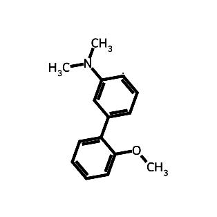 COc1ccccc1-c1cc[c]c(N(C)C)c1